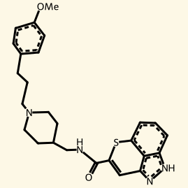 COc1ccc(CCCN2CCC(CNC(=O)C3=Cc4n[nH]c5cccc(c45)S3)CC2)cc1